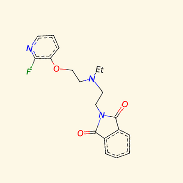 CCN(CCOc1cccnc1F)CCN1C(=O)c2ccccc2C1=O